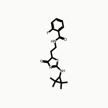 CC1(C)C(NC2=NC(=O)C(CCNC(=O)c3ccccc3F)S2)C1(C)C